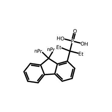 CCCC1(CCC)c2ccccc2-c2cccc(C(CC)(CC)P(=O)(O)O)c21